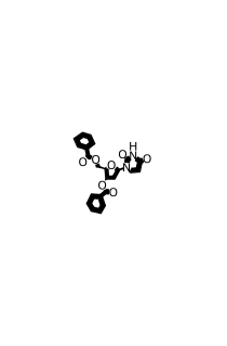 O=C(OC[C@H]1O[C@@H](n2ccc(=O)[nH]c2=O)C[C@@H]1OC(=O)c1ccccc1)c1ccccc1